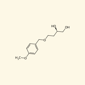 COc1ccc(COCC[C@@H](O)CO)cc1